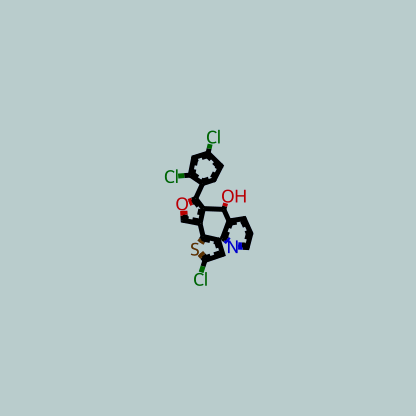 OC(c1cccnc1)c1c(-c2ccc(Cl)s2)coc1-c1ccc(Cl)cc1Cl